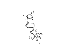 CC1(C)OB(c2ccc(Oc3ncc(Cl)cc3F)cc2)OC1(C)C